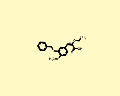 CCO/C(=C/c1ccc(OC)c(OCc2ccccc2)c1)C(=O)O